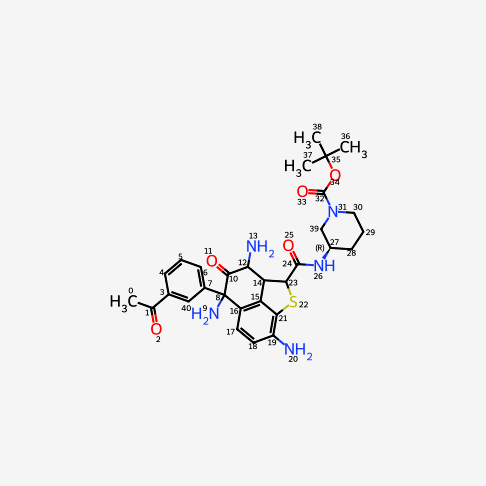 CC(=O)c1cccc(C2(N)C(=O)C(N)C3c4c2ccc(N)c4SC3C(=O)N[C@@H]2CCCN(C(=O)OC(C)(C)C)C2)c1